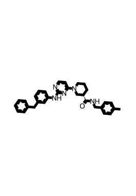 Cc1ccc(CNC(=O)[C@H]2CCCN(c3ccnc(Nc4cccc(Cc5ccccc5)c4)n3)C2)cc1